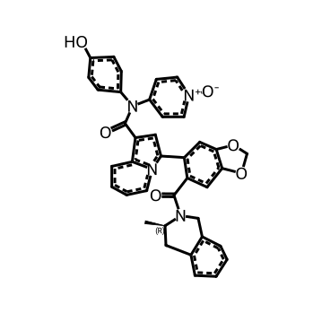 C[C@@H]1Cc2ccccc2CN1C(=O)c1cc2c(cc1-c1cc(C(=O)N(c3ccc(O)cc3)c3cc[n+]([O-])cc3)c3ccccn13)OCO2